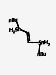 CCC[CH2][SnH2]/[CH]=[CH]/[SnH2][CH2]CCC